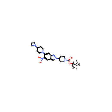 CC(C)(C)OC(=O)N1CCC(n2cc3cc([N+](=O)[O-])c(N4CCC(N5CCC5)CC4)cc3n2)CC1